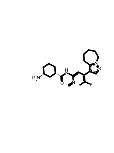 C=N/C(=C\C(=C(/C)F)c1cnn2c1CCCCC2)NC(=O)[C@H]1CCC[C@@H](N)C1